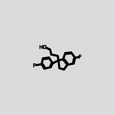 OCCCC1(c2ccc(F)cc2)CCc2cc(F)ccc21